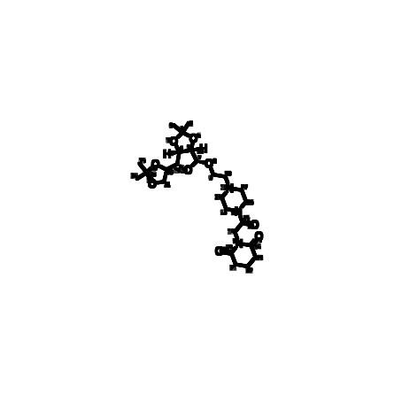 CC1(C)O[C@@H]2[C@H](O1)[C@@H](OCCN1CCN(C(=O)CN3C(=O)CCCC3=O)CC1)O[C@@H]2[C@H]1COC(C)(C)O1